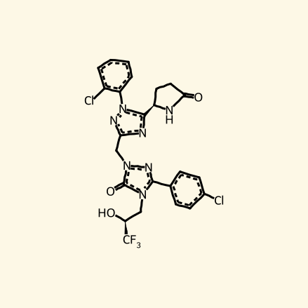 O=C1CC[C@H](c2nc(Cn3nc(-c4ccc(Cl)cc4)n(C[C@H](O)C(F)(F)F)c3=O)nn2-c2ccccc2Cl)N1